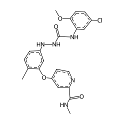 CNC(=O)c1cc(Oc2cc(NNC(=O)Nc3cc(Cl)ccc3OC)ccc2C)ccn1